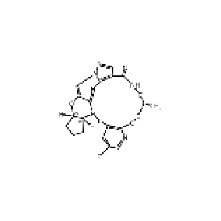 CC1CNC(=O)c2cnn3cc4c(nc23)N(Cc2cc(F)cnc2OC1)[C@@H]1CCC[C@@H]1O4